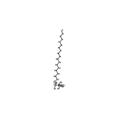 CCCCCCCCCCCCCCCCCCOC(C)[N+](C)(C)[O-]